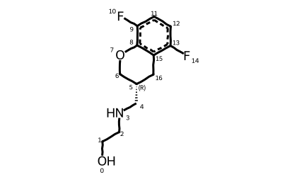 OCCNC[C@@H]1COc2c(F)ccc(F)c2C1